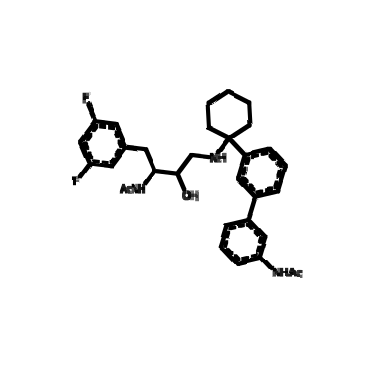 CC(=O)Nc1cccc(-c2cccc(C3(NCC(O)C(Cc4cc(F)cc(F)c4)NC(C)=O)CCCCC3)c2)c1